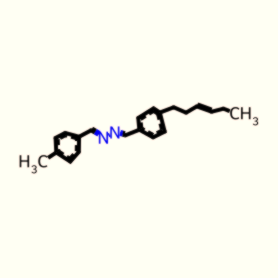 CCC=CCCc1ccc(C=NN=Cc2ccc(C)cc2)cc1